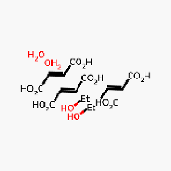 CCO.CCO.O.O.O=C(O)C=CC(=O)O.O=C(O)C=CC(=O)O.O=C(O)C=CC(=O)O